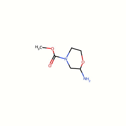 COC(=O)N1CCOC(N)C1